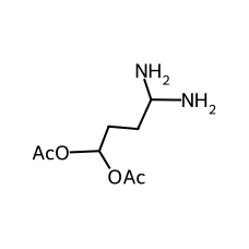 CC(=O)OC(CCC(N)N)OC(C)=O